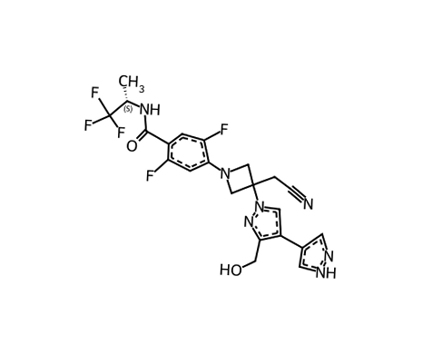 C[C@H](NC(=O)c1cc(F)c(N2CC(CC#N)(n3cc(-c4cn[nH]c4)c(CO)n3)C2)cc1F)C(F)(F)F